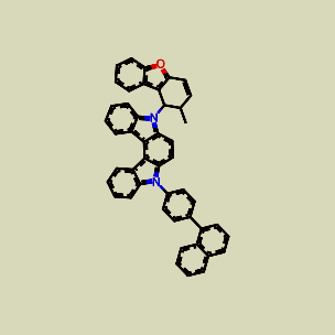 CC1C=Cc2oc3ccccc3c2C1n1c2ccccc2c2c3c4ccccc4n(-c4ccc(-c5cccc6ccccc56)cc4)c3ccc21